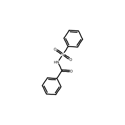 O=C(NS(=O)(=O)c1[c]cccc1)c1ccccc1